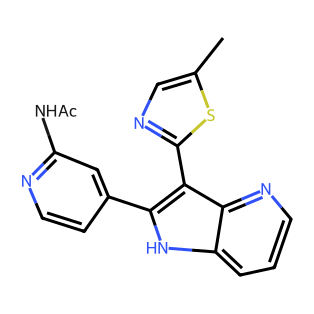 CC(=O)Nc1cc(-c2[nH]c3cccnc3c2-c2ncc(C)s2)ccn1